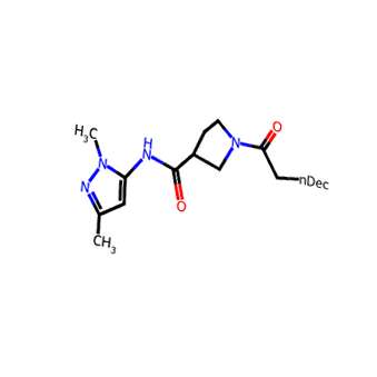 CCCCCCCCCCCC(=O)N1CCC(C(=O)Nc2cc(C)nn2C)C1